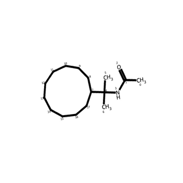 CC(=O)NC(C)(C)C1CCCCCCCCCC1